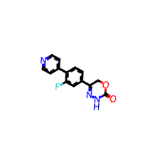 O=C1NN=C(c2ccc(-c3ccncc3)c(F)c2)CO1